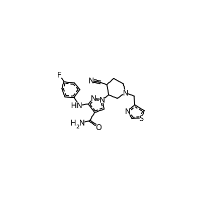 N#CC1CCN(Cc2cscn2)CC1n1cc(C(N)=O)c(Nc2ccc(F)cc2)n1